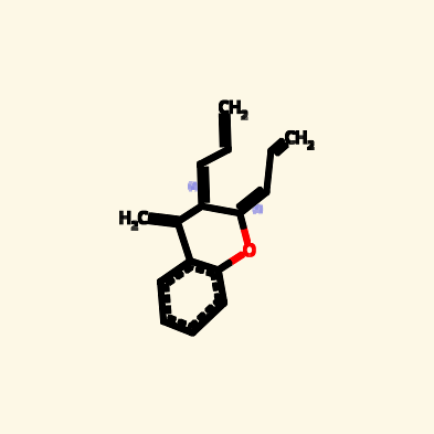 C=C/C=C1/C(=C)c2ccccc2O/C1=C/C=C